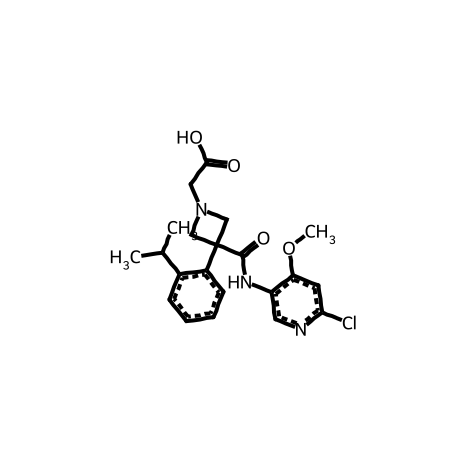 COc1cc(Cl)ncc1NC(=O)C1(c2ccccc2C(C)C)CN(CC(=O)O)C1